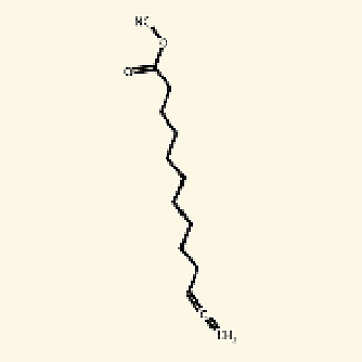 C=C=CCCCCCCCCCC(=O)OC#N